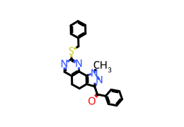 Cn1nc(C(=O)c2ccccc2)c2c1-c1nc(SCc3ccccc3)ncc1CC2